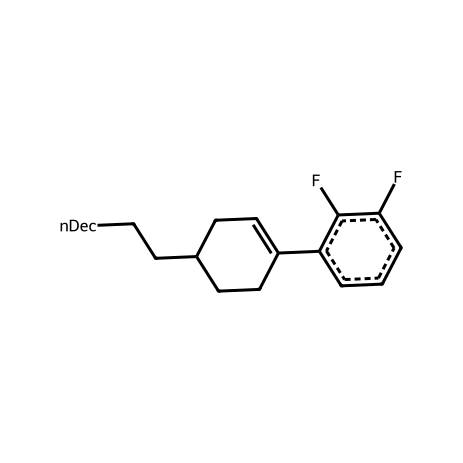 CCCCCCCCCCCCC1CC=C(c2cccc(F)c2F)CC1